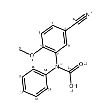 COc1ccc(C#N)cc1N(C(=O)O)c1ccccc1